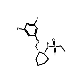 CCS(=O)(=O)N[C@H]1CCCC[C@@H]1COc1cc(F)cc(F)c1